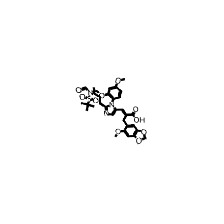 CCCCc1ncc(/C=C(\Cc2cc3c(cc2OC)OCO3)C(=O)O)n1-c1ccc(OC)cc1OCN(C=O)S(=O)(=O)C(C)(C)C